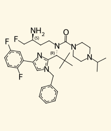 CC(C)N1CCN(C(=O)N(CC[C@H](N)CF)[C@@H](c2nc(-c3cc(F)ccc3F)cn2Cc2ccccc2)C(C)(C)C)CC1